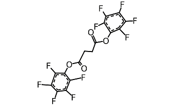 O=C(CCC(=O)Oc1c(F)c(F)c(F)c(F)c1F)Oc1c(F)c(F)c(F)c(F)c1F